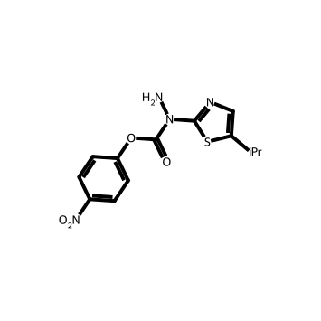 CC(C)c1cnc(N(N)C(=O)Oc2ccc([N+](=O)[O-])cc2)s1